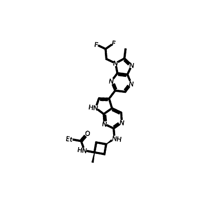 CCC(=O)N[C@]1(C)C[C@@H](Nc2ncc3c(-c4cnc5nc(C)n(CC(F)F)c5n4)c[nH]c3n2)C1